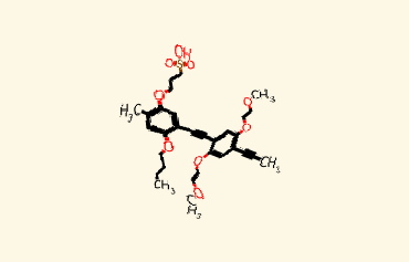 CC#Cc1cc(OCCOC)c(C#Cc2cc(OCCCS(=O)(=O)O)c(C)cc2OCCCC)cc1OCCOC